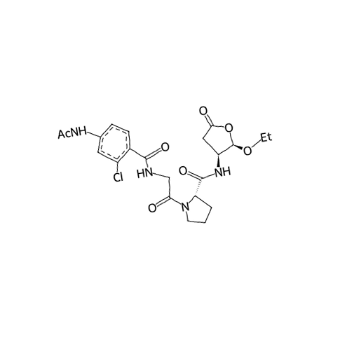 CCO[C@@H]1OC(=O)C[C@@H]1NC(=O)[C@@H]1CCCN1C(=O)CNC(=O)c1ccc(NC(C)=O)cc1Cl